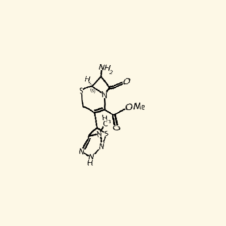 COC(=O)C1=C(C2SN3NN=C2N3C)CS[C@H]2C(N)C(=O)N12